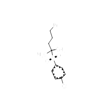 CC(C)(CCCBr)S(=O)(=O)c1ccc(Cl)cc1